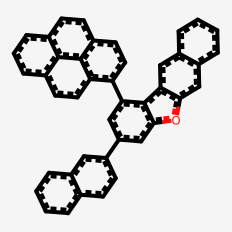 c1ccc2cc(-c3cc(-c4ccc5ccc6cccc7ccc4c5c67)c4c(c3)oc3cc5ccccc5cc34)ccc2c1